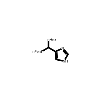 CCCCCCC(CCCCC)c1c[nH]cn1